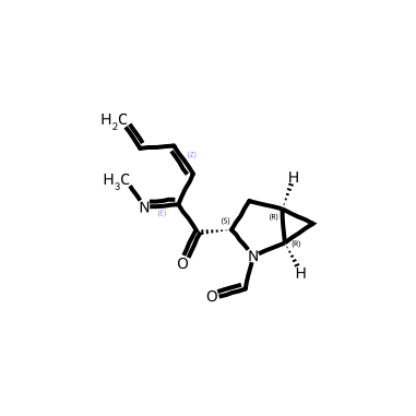 C=C/C=C\C(=N/C)C(=O)[C@@H]1C[C@H]2C[C@H]2N1C=O